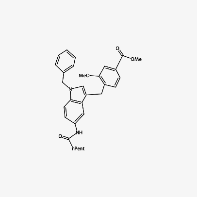 CCCCCC(=O)Nc1ccc2c(c1)c(Cc1ccc(C(=O)OC)cc1OC)cn2Cc1ccccc1